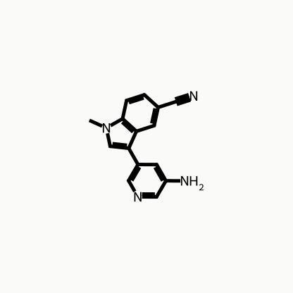 Cn1cc(-c2cncc(N)c2)c2cc(C#N)ccc21